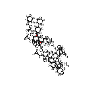 CN(C(=O)COC(=O)[C@H](CC1CC1)N(C)C(=O)[C@@H](Cc1ccc(C2CCOCC2)cc1)OC(=O)[C@H](CC(C)(C)F)N(C)C(=O)OC(C)(C)C)[C@@H](CC(C)(C)F)C(=O)O[C@H](Cc1ccc(C2CCOCC2)cc1)C(=O)N(C)[C@@H](CC1CC1)C(=O)OCC(=O)OCc1ccccc1